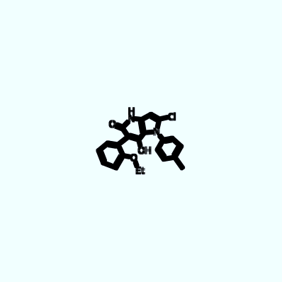 CCOc1ccccc1-c1c(O)c2c(cc(Cl)n2-c2ccc(C)cc2)[nH]c1=O